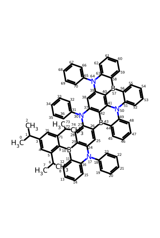 CC(C)c1cc(C(C)C)c(B2c3ccccc3N(c3ccccc3)c3cc4c(cc32)N(c2ccccc2)c2cc3c5c6c2B4c2ccccc2N6c2ccccc2B5c2ccccc2N3c2ccccc2)c(C(C)C)c1